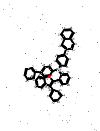 c1ccc(-c2ccc(N(c3ccc(-c4ccc5ccccc5c4)cc3)c3ccccc3-c3oc4ccccc4c3-c3ccccc3)cc2)cc1